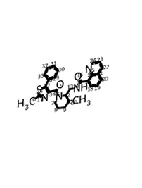 Cc1nc(C(=O)N2CCC[C@@H](C)C2CNC(=O)c2cccc3cccnc23)c(-c2ccccc2)s1